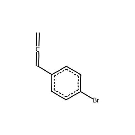 C=C=Cc1ccc(Br)cc1